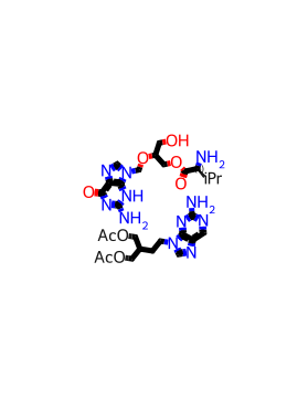 CC(=O)OCC(CCn1cnc2cnc(N)nc21)COC(C)=O.CC(C)[C@H](N)C(=O)OCC(CO)OCn1cnc2c(=O)nc(N)[nH]c21